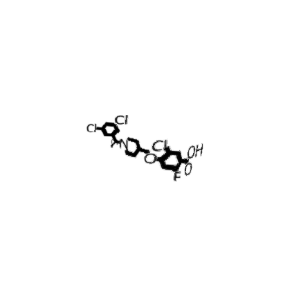 C[C@@H](c1cc(Cl)cc(Cl)c1)N1CCC(COc2cc(F)c(C(=O)O)cc2Cl)CC1